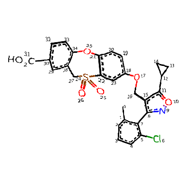 Cc1cccc(Cl)c1-c1noc(C2CC2)c1COc1ccc2c(c1)S(=O)(=O)Cc1cc(C(=O)O)ccc1O2